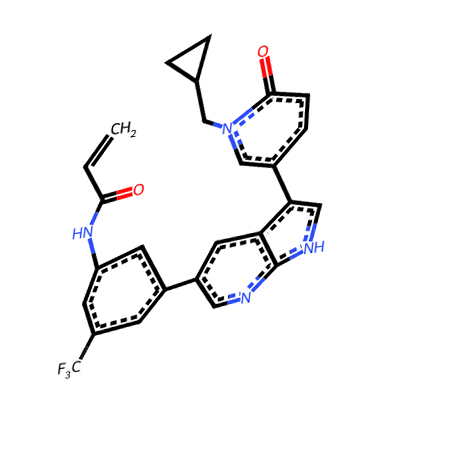 C=CC(=O)Nc1cc(-c2cnc3[nH]cc(-c4ccc(=O)n(CC5CC5)c4)c3c2)cc(C(F)(F)F)c1